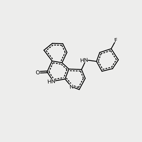 O=c1[nH]c2nccc(Nc3cccc(F)c3)c2c2ccccc12